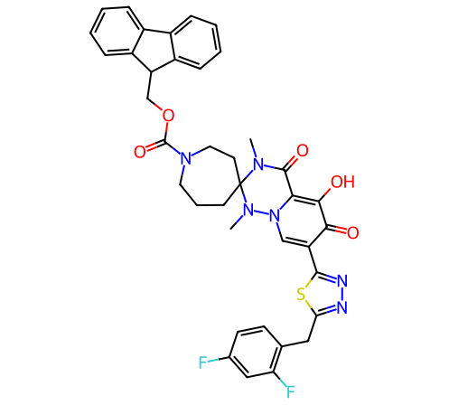 CN1C(=O)c2c(O)c(=O)c(-c3nnc(Cc4ccc(F)cc4F)s3)cn2N(C)C12CCCN(C(=O)OCC1c3ccccc3-c3ccccc31)CC2